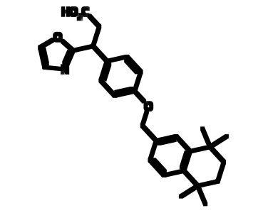 CC1(C)CCC(C)(C)c2cc(COc3ccc(C(CC(=O)O)c4ncco4)cc3)ccc21